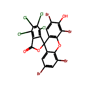 O=C1OC2(c3cc(Br)cc(Br)c3Oc3c2cc(Br)c(O)c3Br)c2c(Cl)c(Cl)c(Cl)c(Cl)c21